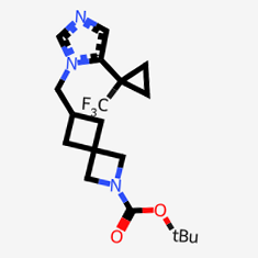 CC(C)(C)OC(=O)N1CC2(CC(Cn3cncc3C3(C(F)(F)F)CC3)C2)C1